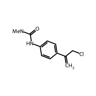 C=C(CCl)c1ccc(NC(=O)NC)cc1